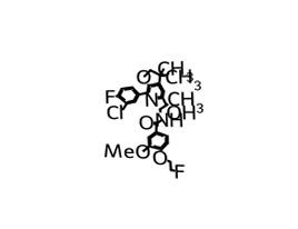 COc1cc(C(=O)NCC(C)(O)c2cc3c(c(-c4ccc(F)c(Cl)c4)n2)OCC3(C)C)ccc1OCCF